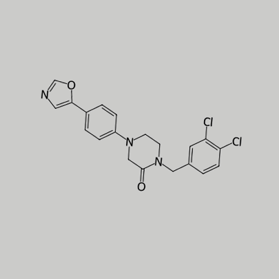 O=C1CN(c2ccc(-c3cnco3)cc2)CCN1Cc1ccc(Cl)c(Cl)c1